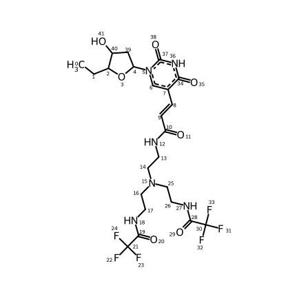 CCC1OC(n2cc(/C=C/C(=O)NCCN(CCNC(=O)C(F)(F)F)CCNC(=O)C(F)(F)F)c(=O)[nH]c2=O)CC1O